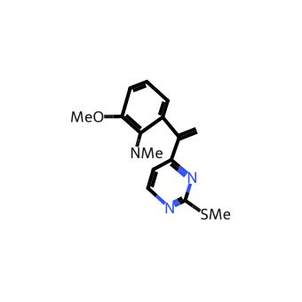 C=C(c1ccnc(SC)n1)c1cccc(OC)c1NC